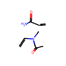 C=CC(N)=O.C=CN(C)C(C)=O